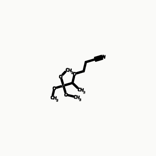 CO[Si](OC)(OC)C(C)OCCC#N